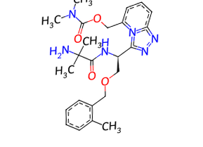 Cc1ccccc1COC[C@@H](NC(=O)C(C)(C)N)c1nnc2cccc(COC(=O)N(C)C)n12